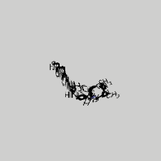 Cc1cc2cc(n1)-c1cnn(C)c1OCCC[C@@H](C)CN1/C(=N/C2=O)Nc2ccc(NCCNCCc3ccc(C4CCC(=O)NC4=O)nc3C)cc21